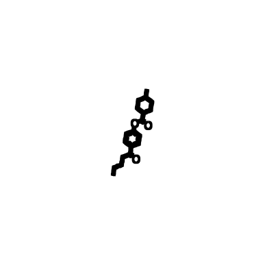 CCCCC(=O)c1ccc(OC(=O)C2CCC(C)CC2)cc1